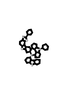 c1ccc(-c2nc3ccc4oc5cc(N(c6cccc7sc8ccccc8c67)c6cccc7c6c6ccccc6n7-c6ccccc6)ccc5c4c3o2)cc1